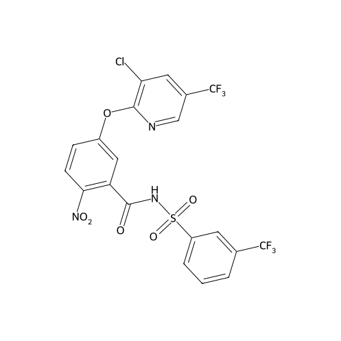 O=C(NS(=O)(=O)c1cccc(C(F)(F)F)c1)c1cc(Oc2ncc(C(F)(F)F)cc2Cl)ccc1[N+](=O)[O-]